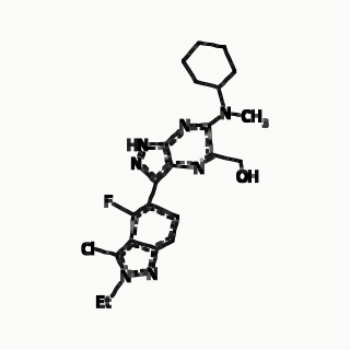 CCn1nc2ccc(-c3n[nH]c4nc(N(C)C5CCCCC5)c(CO)nc34)c(F)c2c1Cl